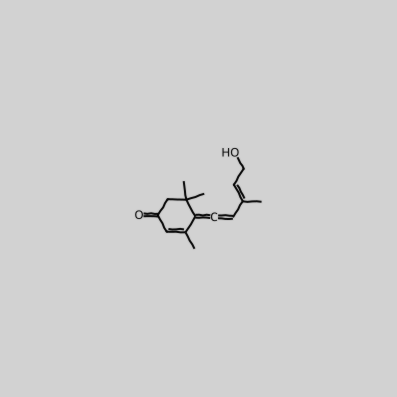 CC(C=C=C1C(C)=CC(=O)CC1(C)C)=CCO